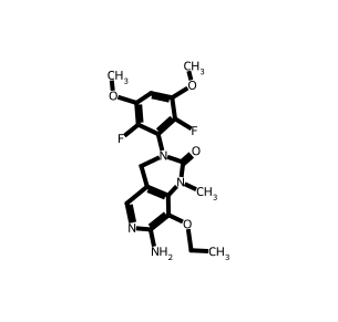 CCOc1c(N)ncc2c1N(C)C(=O)N(c1c(F)c(OC)cc(OC)c1F)C2